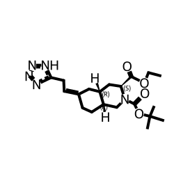 CCOC(=O)[C@@H]1C[C@H]2CC(=CCc3nnn[nH]3)CC[C@H]2CN1C(=O)OC(C)(C)C